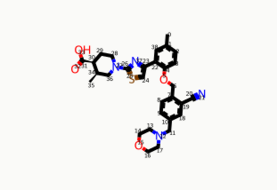 Cc1ccc(OCc2ccc(CN3CCOCC3)cc2C#N)c(-c2csc(N3CC[C@H](C(=O)O)[C@H](C)C3)n2)c1